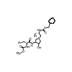 CC(C)C[C@@H](CN1CC(O)C(NC(=O)[C@H](CC(C)C)NC(=O)OC(C)(C)C)C1)NC(=O)OCc1ccccc1